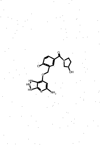 Nc1cc(OCc2cc(C(=O)N3CCC(O)C3)ccc2Cl)c2c(n1)NNN2